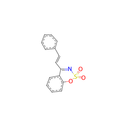 O=S1(=O)N=C(C=Cc2ccccc2)c2ccccc2O1